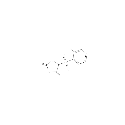 O=C1NC(=O)C(S(=O)(=O)c2ccccc2F)S1